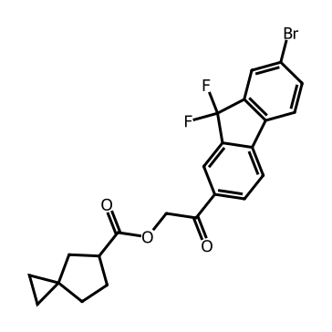 O=C(COC(=O)C1CCC2(CC2)C1)c1ccc2c(c1)C(F)(F)c1cc(Br)ccc1-2